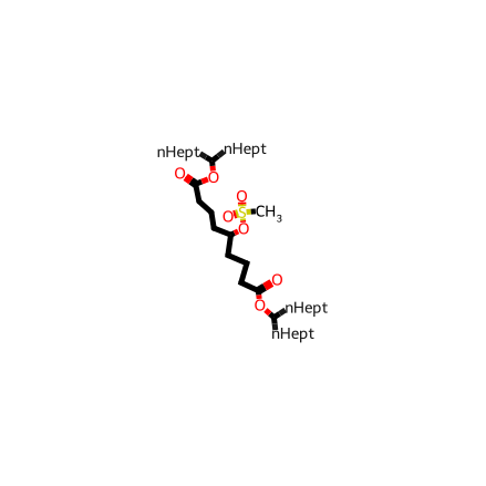 CCCCCCCC(CCCCCCC)OC(=O)CCCC(CCCC(=O)OC(CCCCCCC)CCCCCCC)OS(C)(=O)=O